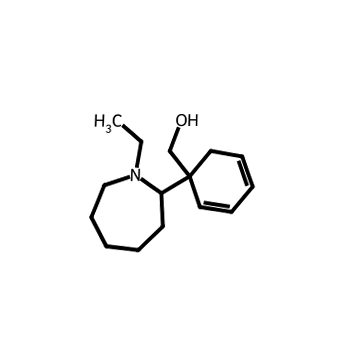 CCN1CCCCCC1C1(CO)C=CC=CC1